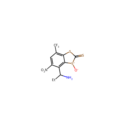 CCC(N)c1c([N+](=O)[O-])cc(C(F)(F)F)c2sc(=S)[s+]([O-])c12